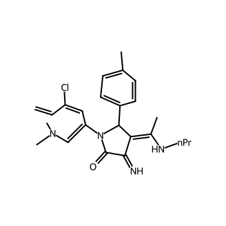 C=C/C(Cl)=C\C(=C/N(C)C)N1C(=O)C(=N)/C(=C(/C)NCCC)C1c1ccc(C)cc1